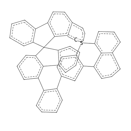 c1ccc(-c2cccc3c2-c2ccccc2C32c3ccccc3-c3ccc4ccccc4c32)c(-c2ccc3c(c2)-c2cccc4cccc(c24)S3)c1